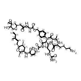 CC(=O)NC(=O)[C@H](CCCNC(N)=O)N(C(=O)[C@@H](NC(=O)[C@@H](N)CCCCN)C(C)C)c1ccc(COC(=O)NNC(=O)C[C@@H]2C[C@@]3(CO3)[C@H](O)[C@@H](/C=C/C(C)=C/C[C@@H]3O[C@H](C)[C@H](NC(=O)/C=C\[C@H](C)O)C[C@@H]3C)O2)cc1